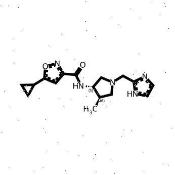 C[C@@H]1CN(Cc2ncc[nH]2)C[C@H]1NC(=O)c1cc(C2CC2)on1